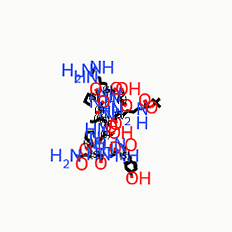 CC[C@H](C)[C@H](NC(=O)[C@H](CCCCNC(=O)OC(C)(C)C)NC(=O)[C@H](CO)NC(=O)[C@H](CCCNC(=N)N)NC(=O)[C@@H]1CCCN1C(=O)[C@H](C)N)C(=O)N[C@@H](CO)C(=O)N1CCC[C@H]1C(=O)N[C@@H](CCC(N)=O)C(=O)NCC(=O)N[C@@H](Cc1ccc(O)cc1)C(N)=O